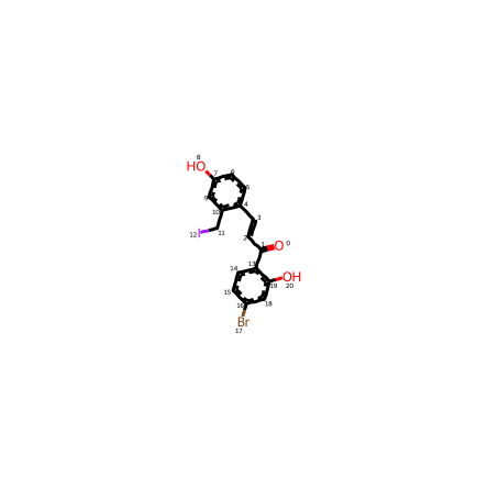 O=C(/C=C/c1ccc(O)cc1CI)c1ccc(Br)cc1O